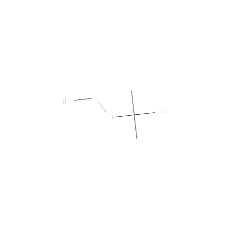 CC(C)SOC(C)(C)S